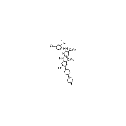 CCc1cc(Nc2ncc(OC)c(Nc3ccc(C4CC4)cc3P(C)C)n2)c(OC)cc1N1CCC(N2CCN(C)CC2)CC1